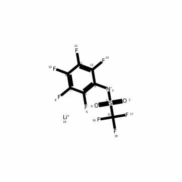 O=S(=O)([N-]c1c(F)c(F)c(F)c(F)c1F)C(F)(F)F.[Li+]